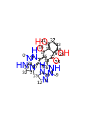 CN(Nc1ccc(NN(C)C2=NCCN2)c2c1C(=O)c1c(O)ccc(O)c1C2=O)C1=NCCN1